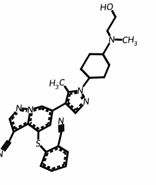 Cc1c(-c2cc(Sc3ccccc3C#N)c3c(C#N)cnn3c2)cnn1C1CCC(N(C)CCO)CC1